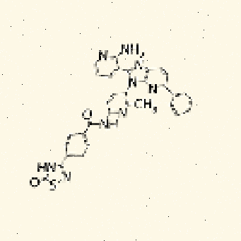 Cc1nc(NC(=O)c2ccc(-c3nsc(=O)[nH]3)cc2)ccc1-n1c(-c2cccnc2N)nc2ccc(-c3ccccc3)nc21